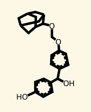 Oc1ccc(C(O)c2ccc(OCOC3C4CC5CC(C4)CC3C5)cc2)cc1